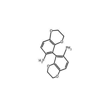 Pc1ccc2c(c1-c1c(P)ccc3c1OCCO3)OCCO2